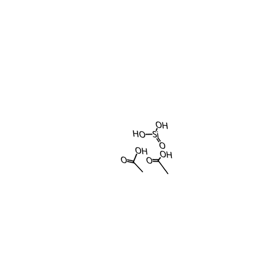 CC(=O)O.CC(=O)O.O=[Si](O)O